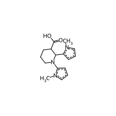 Cn1cccc1C1C(C(=O)O)CCCN1c1cccn1C